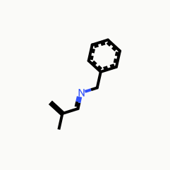 C=C(C)/C=N/Cc1ccccc1